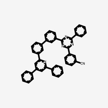 N#Cc1cccc(-c2nc(-c3ccccc3)nc(-c3cccc(-c4cccc(-c5cc(-c6ccccc6)cc(-c6ccccc6)n5)c4)c3)n2)c1